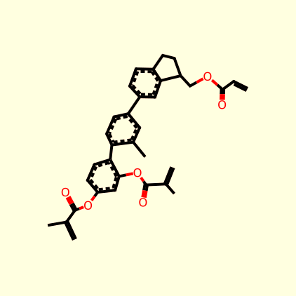 C=CC(=O)OCC1CCc2ccc(-c3ccc(-c4ccc(OC(=O)C(=C)C)cc4OC(=O)C(=C)C)c(C)c3)cc21